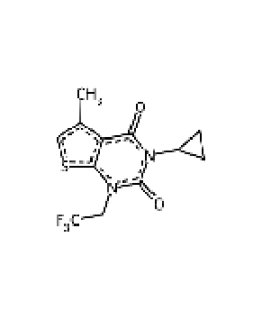 Cc1csc2c1c(=O)n(C1CC1)c(=O)n2CC(F)(F)F